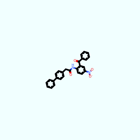 O=C(Cc1ccc(-c2ccccc2)cc1)Nc1ccc([N+](=O)[O-])cc1C(=O)c1ccccc1